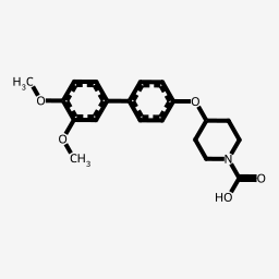 COc1ccc(-c2ccc(OC3CCN(C(=O)O)CC3)cc2)cc1OC